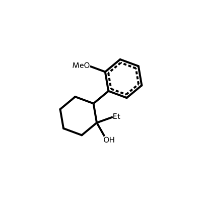 CCC1(O)CCCCC1c1ccccc1OC